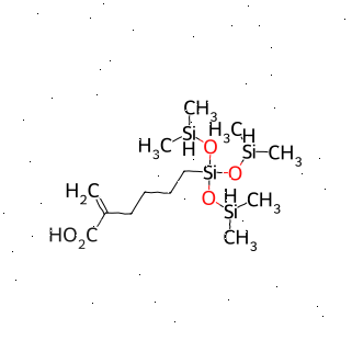 C=C(CCCC[Si](O[SiH](C)C)(O[SiH](C)C)O[SiH](C)C)C(=O)O